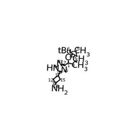 CC(O[Si](C)(C)C(C)(C)C)c1n[nH]c(C2CC(N)C2)n1